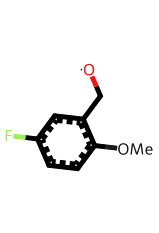 COc1ccc(F)cc1C[O]